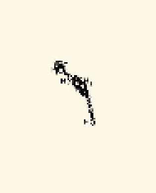 C[C@]12CC[C@@H]3c4ccc(OCCSSCCCCO)cc4CC[C@@]3(C)[C@@H]1CC[C@@H]2OCCCOC(C(F)(F)F)(C(F)(F)F)C(F)(F)F